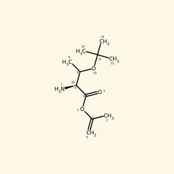 C=C(C)OC(=O)[C@@H](N)C(C)OC(C)(C)C